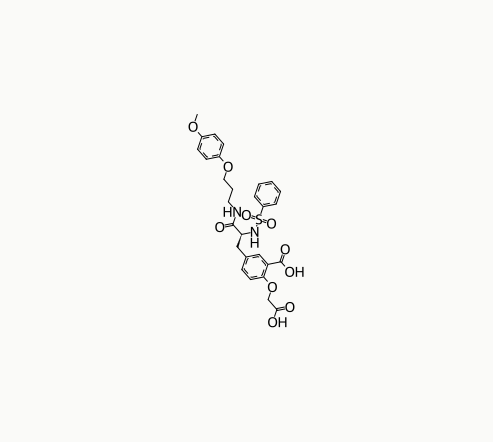 COc1ccc(OCCCNC(=O)[C@H](Cc2ccc(OCC(=O)O)c(C(=O)O)c2)NS(=O)(=O)c2ccccc2)cc1